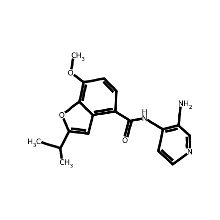 COc1ccc(C(=O)Nc2ccncc2N)c2cc(C(C)C)oc12